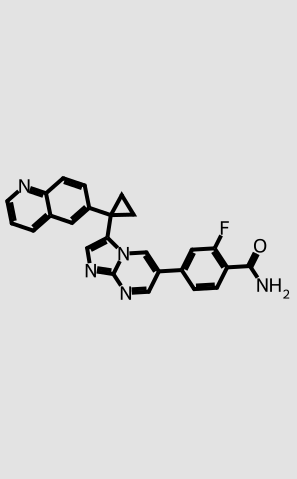 NC(=O)c1ccc(-c2cnc3ncc(C4(c5ccc6ncccc6c5)CC4)n3c2)cc1F